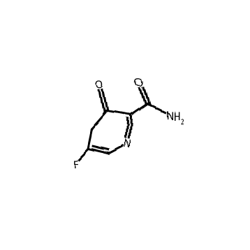 NC(=O)C1=NC=C(F)CC1=O